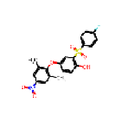 Cc1cc([N+](=O)[O-])cc(C)c1Oc1ccc(O)c(S(=O)(=O)c2ccc(F)cc2)c1